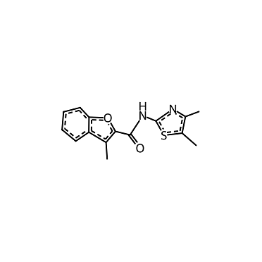 Cc1nc(NC(=O)c2oc3ccccc3c2C)sc1C